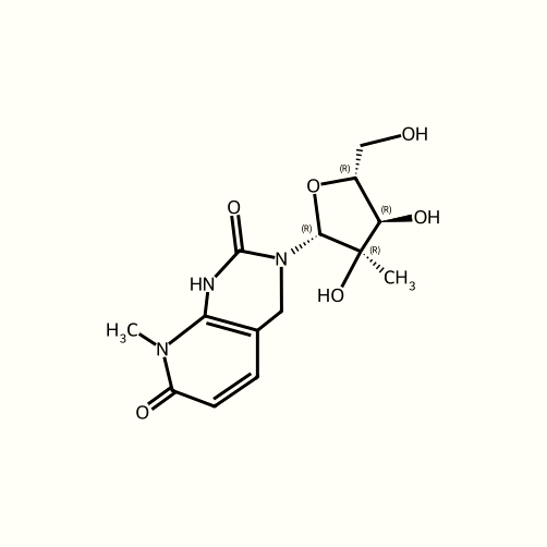 Cn1c2c(ccc1=O)CN([C@@H]1O[C@H](CO)[C@@H](O)[C@@]1(C)O)C(=O)N2